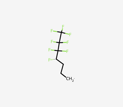 [CH2]CC[C@H](F)C(F)(F)C(F)(F)C(F)(F)F